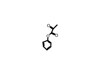 CC(=O)C(=O)Oc1ccccc1